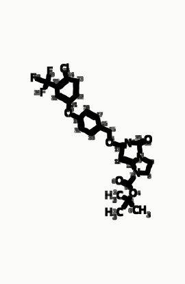 CC(C)(C)OC(=O)N1CCn2c1cc(OCc1ccc(Oc3ccc(Cl)c(C(F)(F)F)c3)cc1)nc2=O